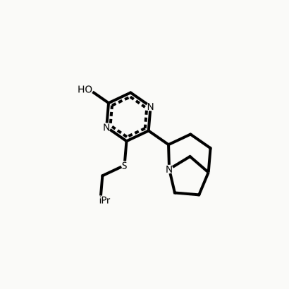 CC(C)CSc1nc(O)cnc1C1CCC2CCN1C2